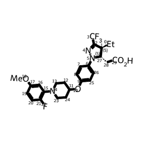 CC[C@@H]1C(C(F)(F)F)=NN(c2ccc(OC3CCN(c4cc(OC)ccc4F)CC3)cc2)[C@H]1CC(=O)O